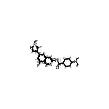 CN(C)C1CCC(C(=O)Nc2cc3cc(-c4cnn(C)c4)cc(F)c3cn2)CC1